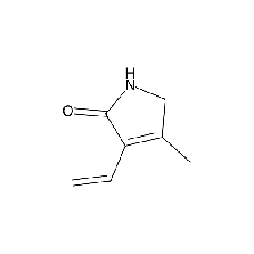 C=CC1=C(C)CNC1=O